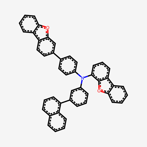 c1cc(-c2cccc3ccccc23)cc(N(c2ccc(-c3ccc4c(c3)oc3ccccc34)cc2)c2cccc3c2oc2ccccc23)c1